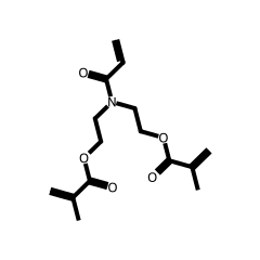 C=CC(=O)N(CCOC(=O)C(=C)C)CCOC(=O)C(=C)C